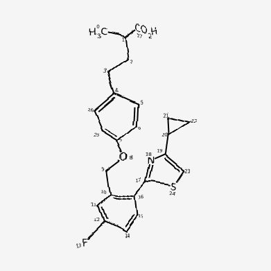 CC(CCc1ccc(OCc2cc(F)ccc2-c2nc(C3CC3)cs2)cc1)C(=O)O